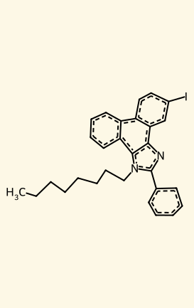 CCCCCCCCn1c(-c2ccccc2)nc2c3cc(I)ccc3c3ccccc3c21